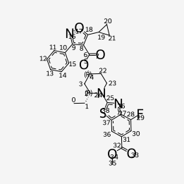 CC[C@@H]1C[C@H](OC(=O)c2c(-c3ccccc3)noc2C2CC2)CCN1c1nc2c(F)cc(C(=O)OC)cc2s1